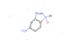 CC(C)[N+]1([O-])C=Nc2cc(N)ccc21